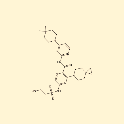 O=C(Nc1nccc(N2CCC(F)(F)CC2)n1)c1ncc(NS(=O)(=O)CCO)cc1N1CCC2(CC1)CC2